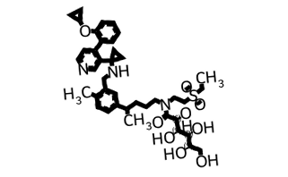 CCS(=O)(=O)CCN(CCCC(C)c1ccc(C)c(CNC2(c3cnccc3-c3ccccc3OC3CC3)CC2)c1)C(=O)[C@@H](O)[C@@H](O)[C@H](O)[C@@H](O)CO